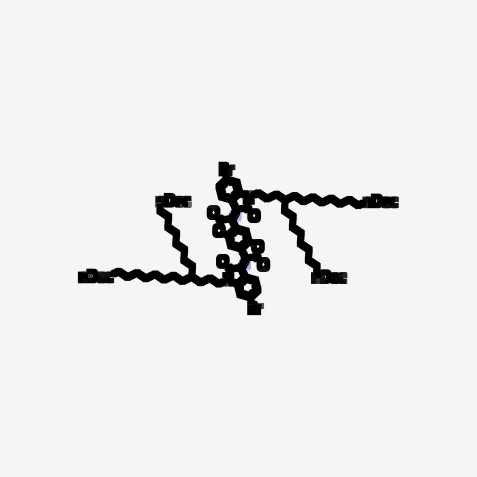 CCCCCCCCCCCCCCCCCCC(CCCCCCCCCCCCCCCCCC)CCCN1C(=O)/C(=C2/C(=O)Oc3cc4c(cc32)OC(=O)/C4=C2/C(=O)N(CCCC(CCCCCCCCCCCCCCCCCC)CCCCCCCCCCCCCCCCCC)c3cc(Br)ccc32)c2ccc(Br)cc21